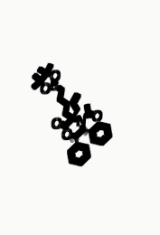 C=CC[C@]1(CCCCB2OC(C)(C)C(C)(C)O2)C(=O)O[C@@H](c2ccccc2)[C@@H](c2ccccc2)N1C(C)=O